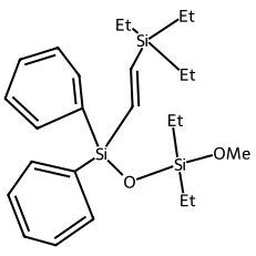 CC[Si](C=C[Si](O[Si](CC)(CC)OC)(c1ccccc1)c1ccccc1)(CC)CC